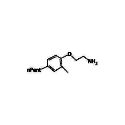 CCCCCc1ccc(OCCN)c(C)c1